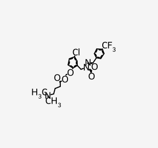 CN(C)CCCC(=O)OCOc1ccc(Cl)cc1Cn1nc(-c2ccc(C(F)(F)F)cc2)oc1=O